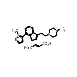 CN1CCN(CCC2=CCc3c2cccc3-c2ccnn2C)CC1.O=C(O)C=CC(=O)O